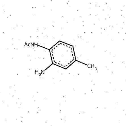 CC(=O)Nc1ccc(C)cc1N